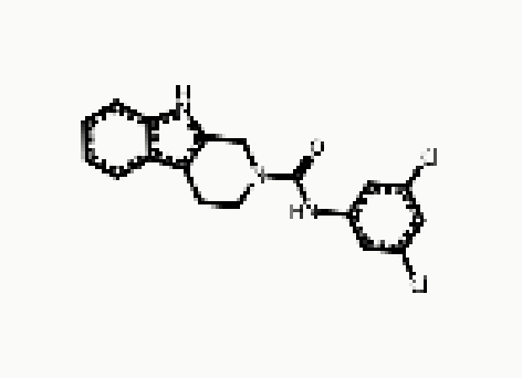 O=C(Nc1cc(Cl)cc(Cl)c1)N1CCc2c([nH]c3ccccc23)C1